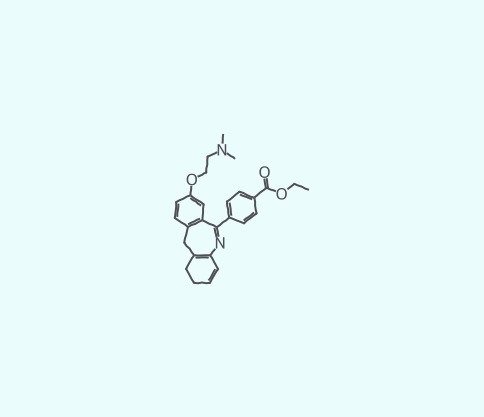 CCOC(=O)c1ccc(C2=NC3=C(CCC=C3)Cc3ccc(OCCN(C)C)cc32)cc1